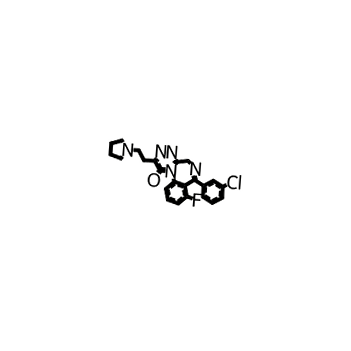 O=c1c(CCN2CCCC2)nnc2n1-c1cccc(F)c1C(c1cccc(Cl)c1)=NC2